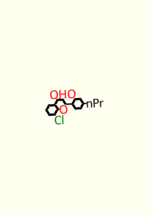 CCCc1ccc(-c2cc(=O)c3cccc(Cl)c3o2)c(O)c1